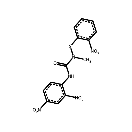 CN(Sc1ccccc1[N+](=O)[O-])C(=O)Nc1ccc([N+](=O)[O-])cc1[N+](=O)[O-]